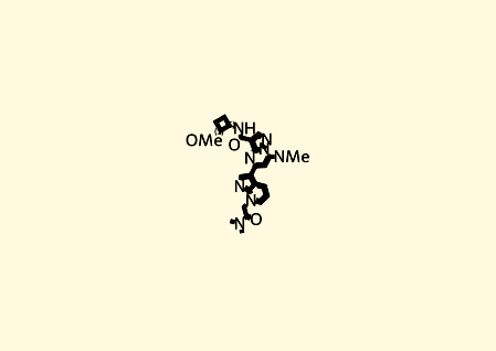 CNc1cc(-c2cnc3n(CC(=O)N(C)C)cccc2-3)nc2c(C(=O)N[C@H]3CC[C@@H]3OC)cnn12